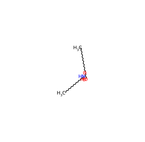 CCCCCCCCCCCCCCCCOCC(CO)NC(=O)CCCCCCCCCCCCCCC